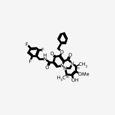 COC1=C(O)[C@@H](C)N2CN(C(=O)c3c(OCc4ccccc4)c(=O)c(C(=O)NCc4c(F)cc(F)cc4F)cn32)[C@H]1C